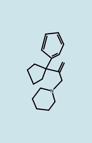 C=C(CN1CCCCC1)C1(c2ccccc2)CCCC1